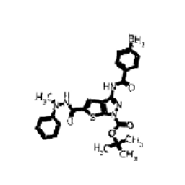 Bc1ccc(C(=O)Nc2nn(C(=O)OC(C)(C)C)c3sc(C(=O)NN(C)c4ccccc4)cc23)cc1